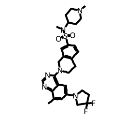 Cc1cc(N2CCC(F)(F)C2)cc2c(N3CCc4ccc(S(=O)(=O)N(C)C5CCN(C)CC5)cc4C3)ncnc12